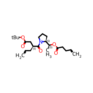 C=CCCC(=O)O[C@@H](C)[C@@H]1CCCN1C(=O)[C@@H](CC=C)CC(=O)OC(C)(C)C